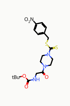 CC(C)(C)OC(=O)NCC(=O)N1CCN(C(=S)SCc2ccc([N+](=O)[O-])cc2)CC1